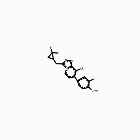 COc1ccc(-c2ccn3c(CC4CC4(F)F)nnc3c2C(F)(F)F)cc1F